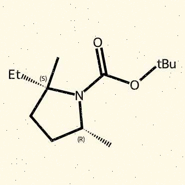 CC[C@@]1(C)CC[C@@H](C)N1C(=O)OC(C)(C)C